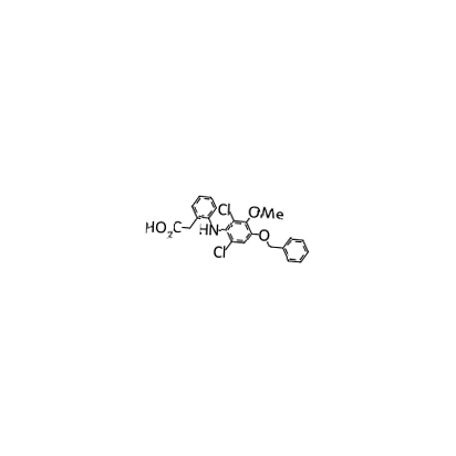 COc1c(OCc2ccccc2)cc(Cl)c(Nc2ccccc2CC(=O)O)c1Cl